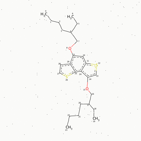 CCCCC(CC)COc1cc2scc(OCC(CC)CCCC)c2c2sccc12